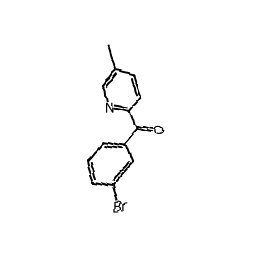 Cc1ccc(C(=O)c2cccc(Br)c2)nc1